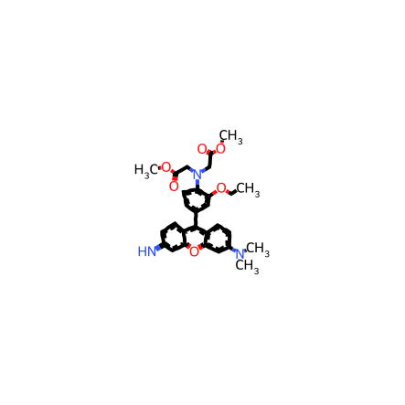 CCOc1cc(-c2c3ccc(=N)cc-3oc3cc(N(C)C)ccc23)ccc1N(CC(=O)OC)CC(=O)OC